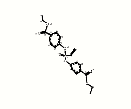 C=CP(=O)(Oc1ccc(C(=O)OCC)cc1)Oc1ccc(C(=O)OCC)cc1